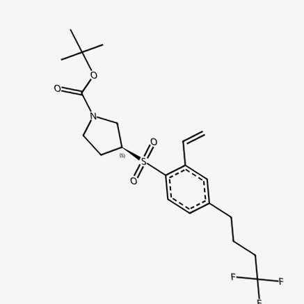 C=Cc1cc(CCCC(F)(F)F)ccc1S(=O)(=O)[C@H]1CCN(C(=O)OC(C)(C)C)C1